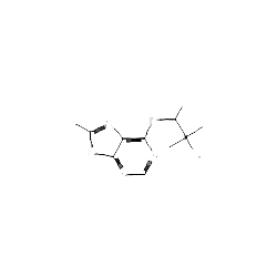 CCC(Nc1ncnc2[nH]c(F)nc12)C(C)(C)S